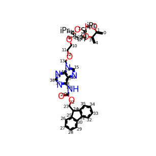 C=C(O)C(=C)O[SiH](O[Si](OCCOCn1cnc2c(NC(=O)OCC3c4ccccc4-c4ccccc43)ncnc21)(C(C)C)C(C)C)C(C)C